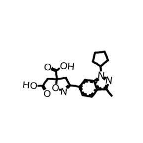 Cc1nn(C2CCCC2)c2cc(C3=NOC(CC(=O)O)(C(=O)O)C3)ccc12